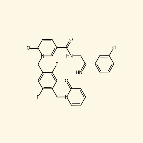 N=C(CNC(=O)c1ccc(=O)n(Cc2cc(F)c(Cn3ccccc3=O)cc2F)c1)c1cccc(Cl)c1